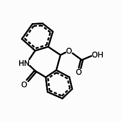 O=C(O)OC1c2ccccc2NC(=O)c2ccccc21